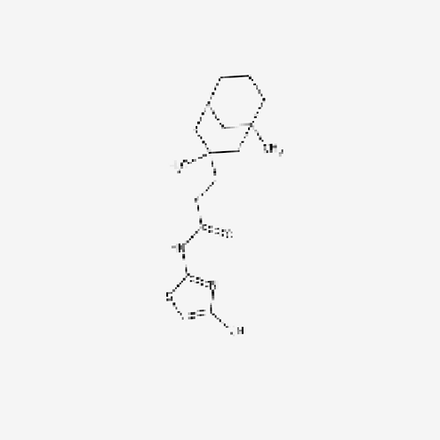 CC12CCCC(C1)CC(C)(CCC(=O)Nc1nc(C#N)cs1)C2